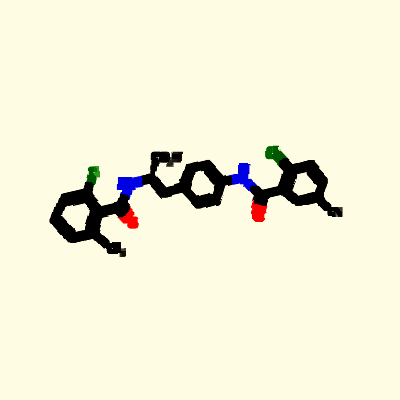 Cc1cccc(Cl)c1C(=O)N[C@@H](Cc1ccc(NC(=O)c2cc(C#N)ccc2Cl)cc1)C(=O)O